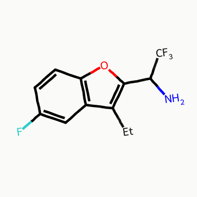 CCc1c(C(N)C(F)(F)F)oc2ccc(F)cc12